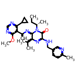 C=C(/N=C1\C(=C(C)C)N=C(NCc2ccc(C)nc2)C(=O)N1[C@@H](C)CC)c1c(OC)ncnc1C1CC1